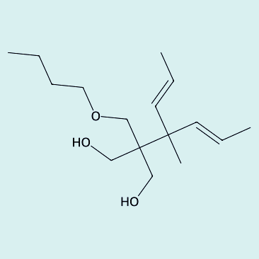 CC=CC(C)(C=CC)C(CO)(CO)COCCCC